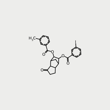 Cc1cccc(C(=O)OC2C3CC(C4CCC(=O)C43)C2OC(=O)c2cccc(I)c2)c1